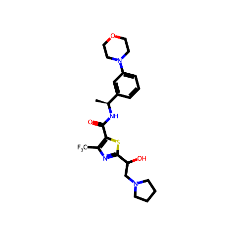 C[C@H](NC(=O)c1sc(C(O)CN2CCCC2)nc1C(F)(F)F)c1cccc(N2CCOCC2)c1